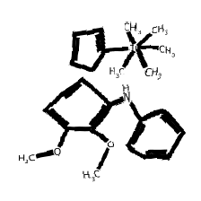 COc1cccc(Nc2ccccc2)c1OC.[CH3][Ti]([CH3])([CH3])([CH3])([CH3])[C]1=CC=CC1